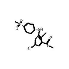 COC(=O)c1cc(Cl)cc(N[C@H]2CC[C@@H](S(C)(=O)=O)CC2)c1C